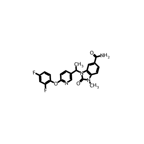 CC(c1ccc(Oc2ccc(F)cc2F)nc1)n1c(=O)n(C)c2ccc(C(N)=O)cc21